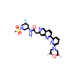 C[C@@H]1CN(c2cccc(-c3ccc4cnc(CC(=O)N[C@@H]5C[C@H](F)CN(S(C)(=O)=O)C5)cc4n3)n2)C[C@H](C)O1